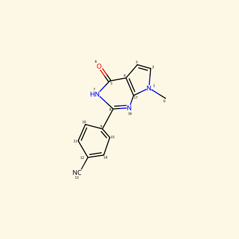 Cn1ccc2c(=O)[nH]c(-c3ccc(C#N)cc3)nc21